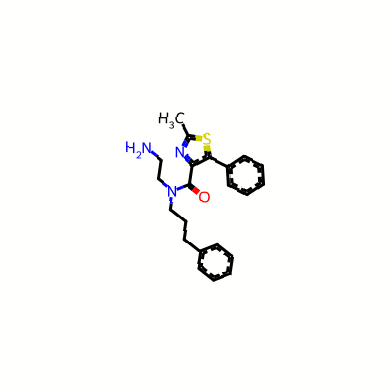 Cc1nc(C(=O)N(CCN)CCCc2ccccc2)c(-c2ccccc2)s1